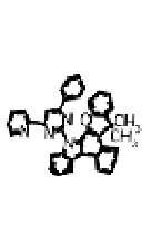 CC1(C)c2ccccc2Oc2c1c1ccccc1c1c3ccccc3n(-c3nc(-c4ccccc4)cc(-c4ccccn4)n3)c21